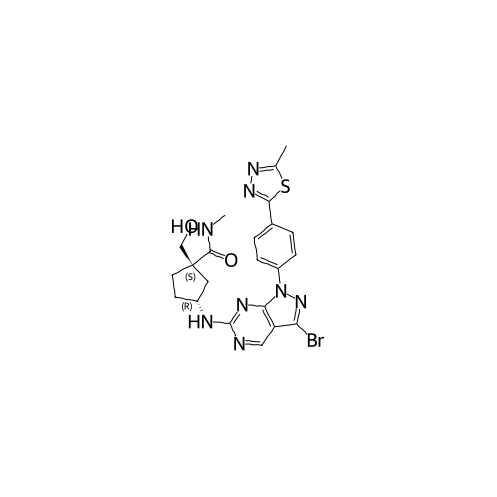 CNC(=O)[C@@]1(CO)CC[C@@H](Nc2ncc3c(Br)nn(-c4ccc(-c5nnc(C)s5)cc4)c3n2)C1